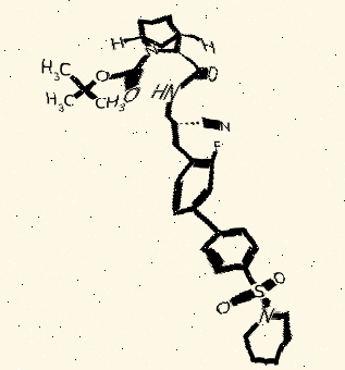 CC(C)(C)OC(=O)N1[C@@H]2CC[C@@H](C2)[C@H]1C(=O)N[C@H](C#N)Cc1ccc(-c2ccc(S(=O)(=O)N3CCCCC3)cc2)cc1F